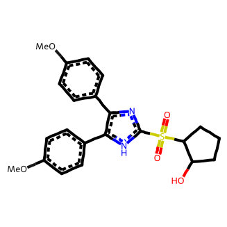 COc1ccc(-c2nc(S(=O)(=O)C3CCCC3O)[nH]c2-c2ccc(OC)cc2)cc1